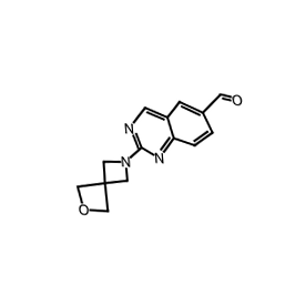 O=Cc1ccc2nc(N3CC4(COC4)C3)ncc2c1